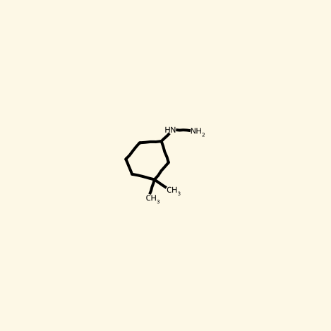 CC1(C)CCCC(NN)C1